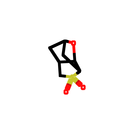 O=S1(=O)CC2CC3CC1C2O3